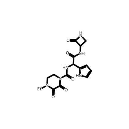 CCN1CCN(C(=O)NC(C(=O)NC2CNC2=O)c2ccc[nH]2)C(=O)C1=O